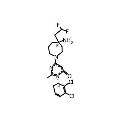 Cc1nc(N2CCC[C@](N)(CC(F)F)CC2)cc(=O)n1[C@H]1CC=CC(Cl)=C1Cl